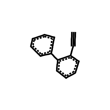 [C]#Cc1ccccc1-c1ccccc1